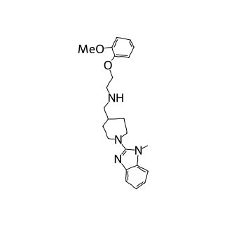 COc1ccccc1OCCNCC1CCN(c2nc3ccccc3n2C)CC1